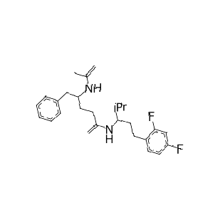 C=C(C)NC(CCC(=C)NC(CCc1ccc(F)cc1F)C(C)C)Cc1ccccc1